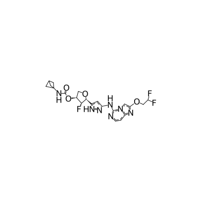 O=C(NC12CC(C1)C2)O[C@H]1CO[C@@H](c2cc(Nc3nccc4nc(OCC(F)F)cn34)n[nH]2)[C@H]1F